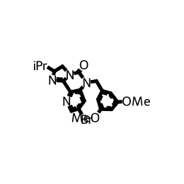 COc1cc(CN2C(=O)N3CC(C(C)C)N=C3c3ncc(Br)cc32)cc(OC)c1